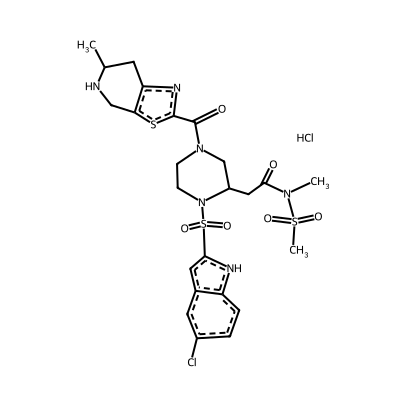 CC1Cc2nc(C(=O)N3CCN(S(=O)(=O)c4cc5cc(Cl)ccc5[nH]4)C(CC(=O)N(C)S(C)(=O)=O)C3)sc2CN1.Cl